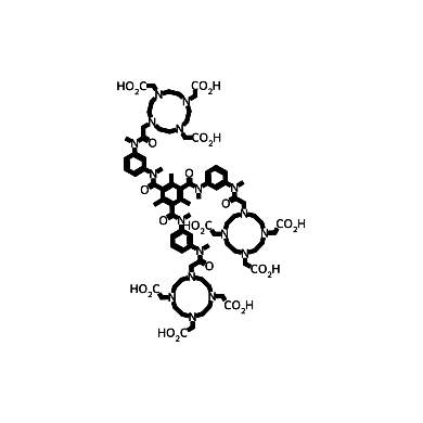 Cc1c(C(=O)N(C)c2cccc(N(C)C(=O)CN3CCN(CC(=O)O)CCN(CC(=O)O)CCN(CC(=O)O)CC3)c2)c(C)c(C(=O)N(C)c2cccc(N(C)C(=O)CN3CCN(CC(=O)O)CCN(CC(=O)O)CCN(CC(=O)O)CC3)c2)c(C)c1C(=O)N(C)c1cccc(N(C)C(=O)CN2CCN(CC(=O)O)CCN(CC(=O)O)CCN(CC(=O)O)CC2)c1